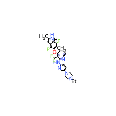 CCN1CCN(c2ccc(NC3=N/C=C/CC(C)/C(OC4=CC(F)[C@@H]5NC(C)=CC5=C4F)=C\3C(F)F)nc2)CC1